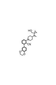 CN(C1CCN(c2cccc(-c3ccc4c(c3)OCCO4)c2C#N)CC1)C1(CO)CC1